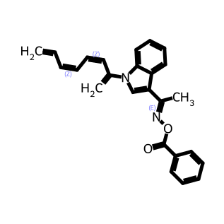 C=C/C=C\C=C/C(=C)n1cc(/C(C)=N/OC(=O)c2ccccc2)c2ccccc21